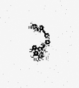 CC(C)[C@@H](CS(=O)(=O)C(C)C)N1C(=O)[C@@](C)(CC(=O)N[C@H]2CC[C@H](CN3CCC(C#Cc4cccn5c(N6CCC(=O)NC6=O)cnc45)CC3)CC2)C[C@H](c2cccc(Cl)c2)[C@H]1c1ccc(Cl)cc1